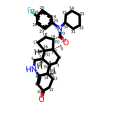 C[C@]12CC[C@H]3[C@@H](CNC4=CC(=O)CC[C@@]43C)[C@@H]1CC[C@@H]2C(=O)N(c1ccc(F)cc1)C1CCCCC1